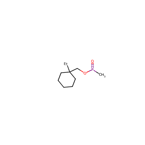 CCC1(CO[PH](C)=O)CCCCC1